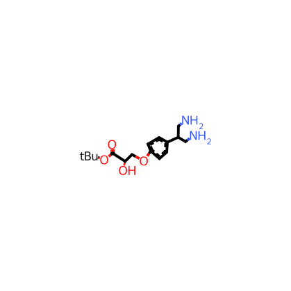 CC(C)(C)OC(=O)[C@H](O)COc1ccc(C(CN)CN)cc1